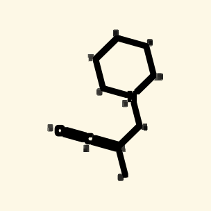 CC(=C=O)CN1CCCCC1